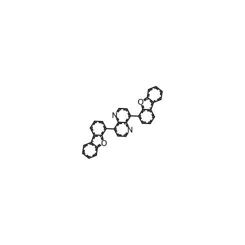 c1ccc2c(c1)oc1c(-c3ccnc4c(-c5cccc6c5oc5ccccc56)ccnc34)cccc12